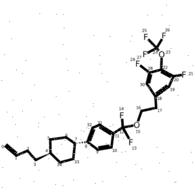 C=CCC[C@H]1CC[C@H](c2ccc(C(F)(F)OCCc3cc(F)c(OC(F)(F)F)c(F)c3)cc2)CC1